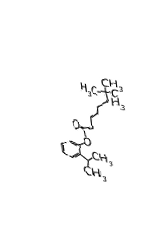 CC(C)c1ccccc1OC(=O)CCCCCC(C)(C)C